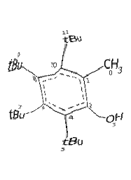 Cc1c(O)c(C(C)(C)C)c(C(C)(C)C)c(C(C)(C)C)c1C(C)(C)C